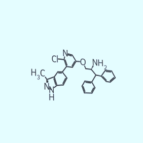 Cc1n[nH]c2ccc(-c3cc(OC[C@@H](N)C(c4ccccc4)c4ccccc4)cnc3Cl)cc12